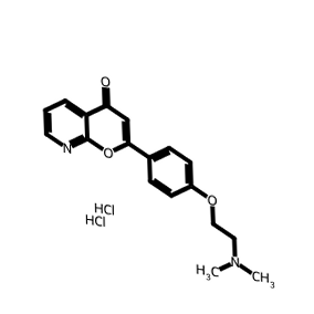 CN(C)CCOc1ccc(-c2cc(=O)c3cccnc3o2)cc1.Cl.Cl